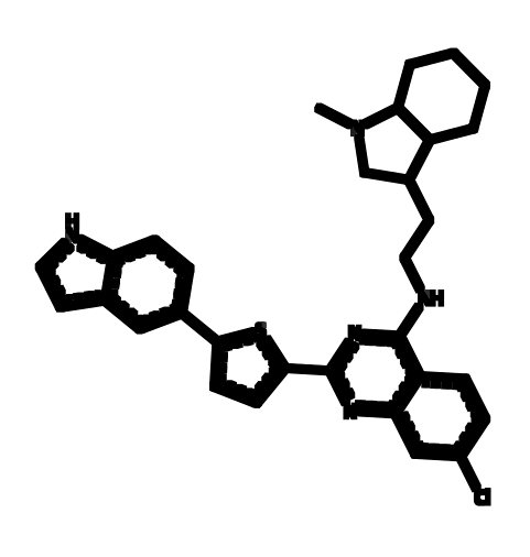 CN1CC(CCNc2nc(-c3ccc(-c4ccc5[nH]ccc5c4)s3)nc3cc(Cl)ccc23)C2CCCCC21